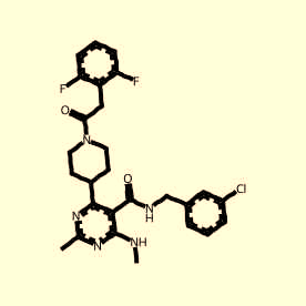 CNc1nc(C)nc(C2CCN(C(=O)Cc3c(F)cccc3F)CC2)c1C(=O)NCc1cccc(Cl)c1